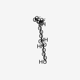 O=C(CCC(=O)NCCOCCOCCOCCNc1ccc([N+](=O)[O-])cc1[N+](=O)[O-])NCCOCCOCCOCCO